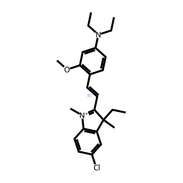 CCN(CC)c1ccc(/C=C/C2=[N+](C)c3ccc(Cl)cc3C2(C)CC)c(OC)c1